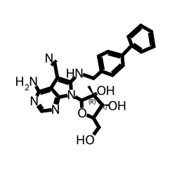 C[C@]1(O)C(n2c(NCc3ccc(-c4ccccc4)cc3)c(C#N)c3c(N)ncnc32)OC(CO)[C@H]1O